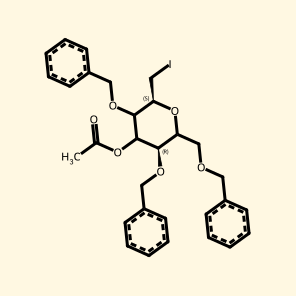 CC(=O)OC1C(OCc2ccccc2)[C@@H](CI)OC(COCc2ccccc2)[C@H]1OCc1ccccc1